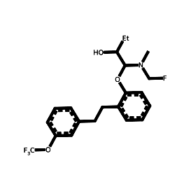 CCC(O)C(Oc1ccccc1CCc1cccc(OC(F)(F)F)c1)N(C)CF